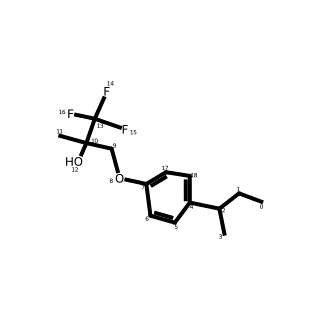 CCC(C)c1ccc(OCC(C)(O)C(F)(F)F)cc1